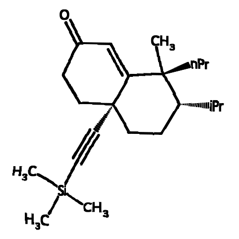 CCC[C@]1(C)C2=CC(=O)CC[C@]2(C#C[Si](C)(C)C)CC[C@H]1C(C)C